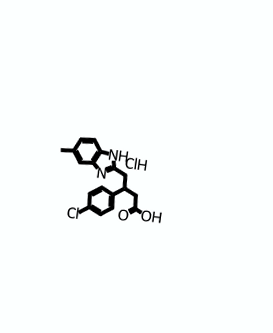 Cc1ccc2[nH]c(CC(CC(=O)O)c3ccc(Cl)cc3)nc2c1.Cl